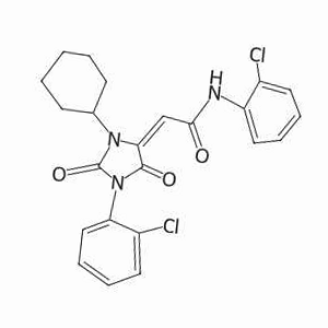 O=C(C=C1C(=O)N(c2ccccc2Cl)C(=O)N1C1CCCCC1)Nc1ccccc1Cl